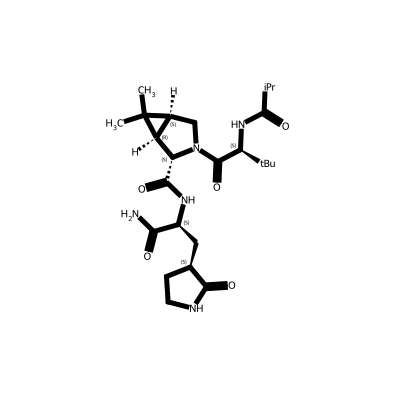 CC(C)C(=O)N[C@H](C(=O)N1C[C@H]2[C@@H]([C@H]1C(=O)N[C@@H](C[C@@H]1CCNC1=O)C(N)=O)C2(C)C)C(C)(C)C